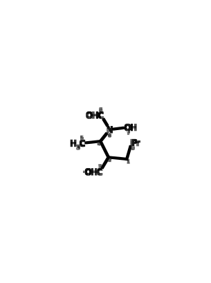 CC(C)CC([C]=O)C(C)N(O)C=O